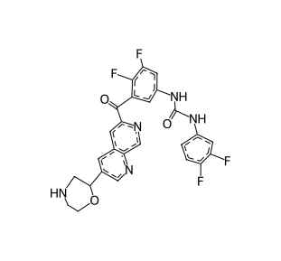 O=C(Nc1ccc(F)c(F)c1)Nc1cc(F)c(F)c(C(=O)c2cc3cc(C4CNCCO4)cnc3cn2)c1